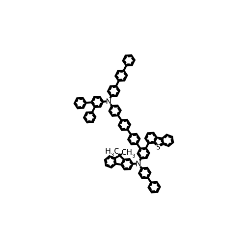 CC1(C)c2ccccc2-c2ccc(N(c3ccc(-c4ccccc4)cc3)c3ccc(-c4cccc5c4sc4ccccc45)c(-c4ccc(-c5ccc(-c6ccc(N(c7ccc(-c8ccc(-c9ccccc9)cc8)cc7)c7ccc(-c8ccccc8)c(-c8ccccc8)c7)cc6)cc5)cc4)c3)cc21